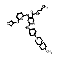 C=CCNC(=O)c1cnc(Nc2ccc(N3CCC4(CCN(C)CC4)CC3)cc2)nc1Nc1cccc(OC2COC2)n1